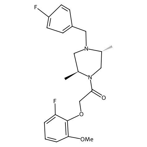 COc1cccc(F)c1OCC(=O)N1C[C@@H](C)N(Cc2ccc(F)cc2)C[C@@H]1C